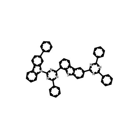 c1ccc(-c2ccc3c4ccccc4n(-c4nc(-c5ccccc5)nc(-c5cccc6c5sc5ccc(-c7nc(-c8ccccc8)nc(-c8ccccc8)n7)cc56)n4)c3c2)cc1